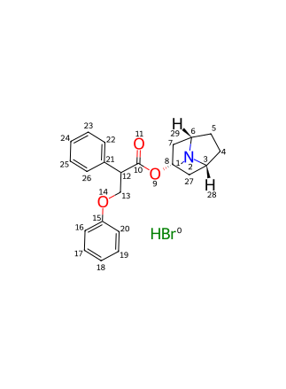 Br.CN1[C@@H]2CC[C@H]1C[C@@H](OC(=O)C(COc1ccccc1)c1ccccc1)C2